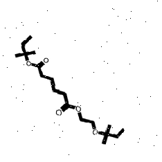 CCC(C)(C)OCCOC(=O)CCCCC(=O)OC(C)(C)CC